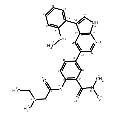 CCN(C)CC(=O)Nc1ccc(-c2cnc3[nH]cc(-c4ccccc4OC)c3c2)cc1C(=O)N(C)C